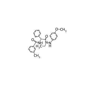 CCN(Nc1ccc(OC)cc1)C(=O)C(NC(=O)c1cccc(C)c1)c1ccccc1